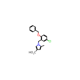 Cc1cc(C(=O)O)cn1Cc1cc(Cl)ccc1OCc1ccccc1